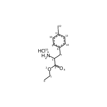 CCOC(=O)C(N)Cc1ccc(I)cc1.Cl